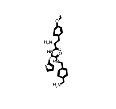 CCOc1ccc(C[C@@H](N)C(=O)N[C@@H](Cc2cccs2)C(=O)NCc2ccc(CN)cc2)cc1